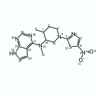 CC1CCN(c2ncc([N+](=O)[O-])s2)CC1N(C)c1ncnc2[nH]ccc12